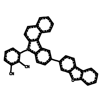 N#Cc1cccc(-n2c3ccc(-c4ccc5c(c4)oc4ccccc45)cc3c3c4ccccc4ccc32)c1C#N